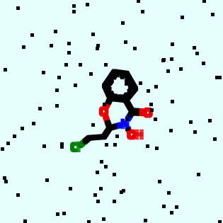 O=C1c2ccccc2OC(CCCl)N1O